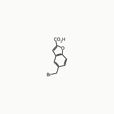 O=C(O)c1cc2cc(CBr)ccc2o1